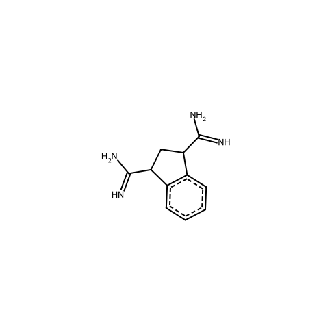 N=C(N)C1CC(C(=N)N)c2ccccc21